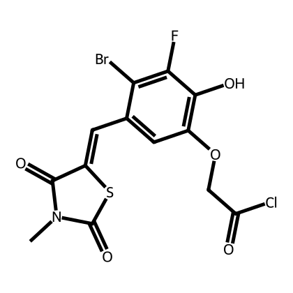 CN1C(=O)S/C(=C\c2cc(OCC(=O)Cl)c(O)c(F)c2Br)C1=O